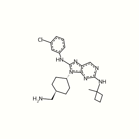 CC1(Nc2ncc3nc(Nc4cccc(Cl)c4)n([C@H]4CC[C@H](CN)CC4)c3n2)CCC1